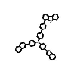 c1ccc2cc(-c3ccc(N(c4ccc(-c5ccc(-c6cccc7c6oc6ccccc67)cc5)cc4)c4ccc(-c5cc6ccccc6s5)cc4)cc3)ccc2c1